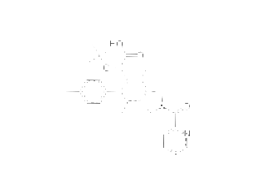 Cc1ccc(-c2c(C)c3c(c(C)c2[C@H](OC(C)(C)C)C(=O)O)CN(C(=O)c2ccccn2)C3)cc1